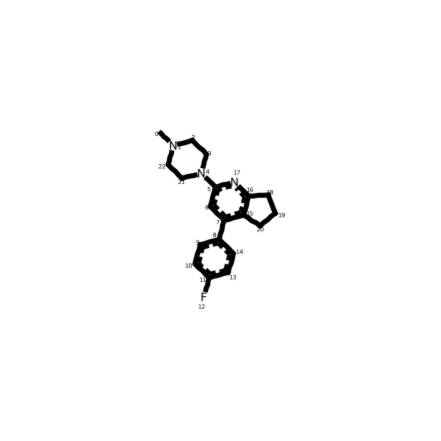 CN1CCN(c2cc(-c3ccc(F)cc3)c3c(n2)CCC3)CC1